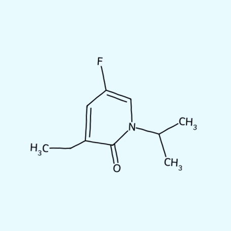 CCc1cc(F)cn(C(C)C)c1=O